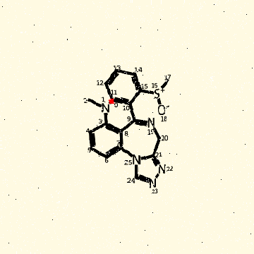 CN(C)c1cccc2c1C(c1ccccc1[S+](C)[O-])=NCc1nncn1-2